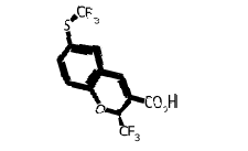 O=C(O)C1=Cc2cc(SC(F)(F)F)ccc2O[C@@H]1C(F)(F)F